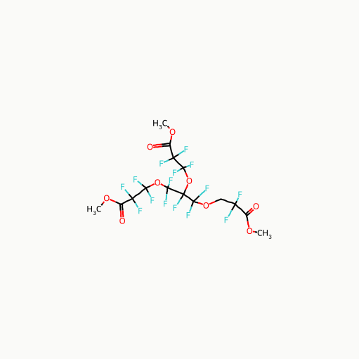 COC(=O)C(F)(F)COC(F)(F)C(F)(OC(F)(F)C(F)(F)C(=O)OC)C(F)(F)OC(F)(F)C(F)(F)C(=O)OC